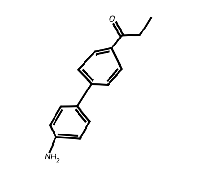 CCC(=O)c1ccc(-c2ccc(N)cc2)cc1